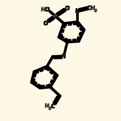 C=Cc1cccc(C=Nc2ccc(N=C)c(S(=O)(=O)O)c2)c1